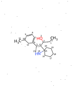 CCC(O)C1C(C2=CC=CC(C)C2)CNC12CCCCC2